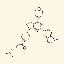 CN(C)CC=CC(=O)N1CCC(n2ncc3c(N4CCOCC4)nc(-c4ccc5[nH]ccc5c4)nc32)CC1